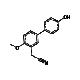 COc1ccc(-c2ccc(O)cc2)cc1CC#N